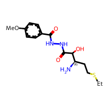 CCSCC[C@@H](N)C(O)C(=O)NNC(=O)c1ccc(OC)cc1